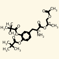 CC(=O)OC[C@@H](C)OC(=O)[C@@H](N)Cc1ccc(OC(=O)C(C)(C)C)c(OC(=O)C(C)(C)C)c1